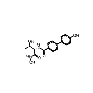 C[C@@H](O)[C@H](NC(=O)c1ccc(-c2ccc(O)cc2)cc1)C(=O)NO